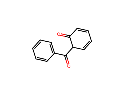 O=C1C=CC=CC1C(=O)c1ccccc1